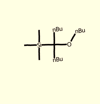 CCCCOC(CCCC)(CCCC)[Si](C)(C)C